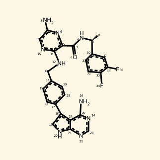 C[C@H](NC(=O)c1nc(N)cnc1NCc1ccc(-c2c[nH]c3ncnc(N)c23)cc1)c1ccc(F)c(F)c1